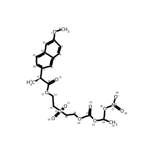 COc1ccc2cc([C@H](C)C(=O)OCCS(=O)(=O)CCOC(=O)OC(C)O[N+](=O)[O-])ccc2c1